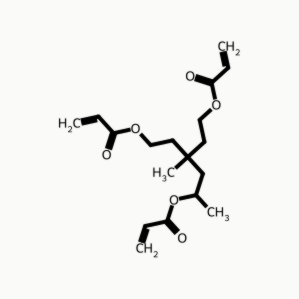 C=CC(=O)OCCC(C)(CCOC(=O)C=C)CC(C)OC(=O)C=C